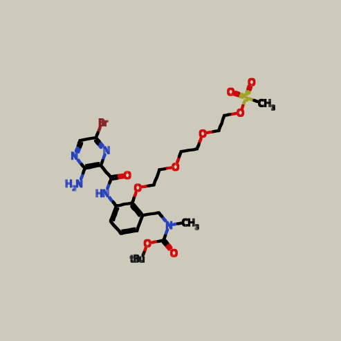 CN(Cc1cccc(NC(=O)c2nc(Br)cnc2N)c1OCCOCCOCCOS(C)(=O)=O)C(=O)OC(C)(C)C